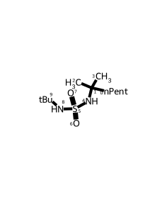 CCCCCC(C)(C)NS(=O)(=O)NC(C)(C)C